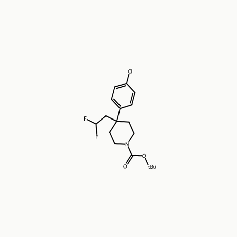 CC(C)(C)OC(=O)N1CCC(CC(F)F)(c2ccc(Cl)cc2)CC1